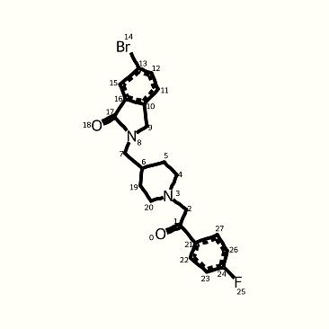 O=C(CN1CCC(CN2Cc3ccc(Br)cc3C2=O)CC1)c1ccc(F)cc1